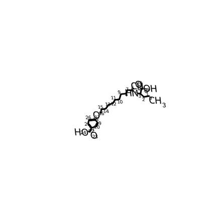 CCCC(NC(C)CCCCCCCCCCOc1ccc(C(=O)O)cc1)C(=O)O